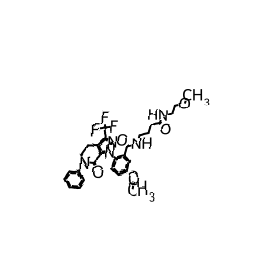 COCCNC(=O)CCCNC(=O)c1cc(OC)ccc1-n1nc(C(F)(F)F)c2c1C(=O)N(c1ccccc1)CC2